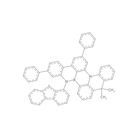 CC1(C)c2ccccc2N2c3cc(-c4ccccc4)cc4c3B(c3cccc1c32)N(c1cccc2c1sc1ccccc12)c1cc(-c2ccccc2)ccc1-4